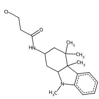 CN1c2ccccc2C2(C)C1CC(NC(=O)CCCl)CC2(C)C